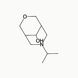 CC(C)N1CC2COCC(C1)C2O